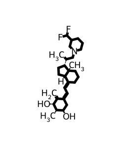 C=C1C(=CC=C2CCC[C@]3(C)[C@@H](C(C)CN4CCCC(C(F)F)C4)CC[C@@H]23)C[C@@H](O)[C@H](C)[C@@H]1O